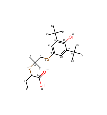 CCC(SC(C)(C)CSc1cc(C(C)(C)C)c(O)c(C(C)(C)C)c1)C(=O)O